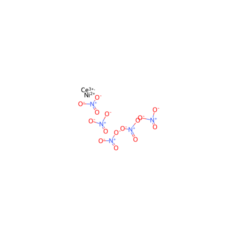 O=[N+]([O-])[O-].O=[N+]([O-])[O-].O=[N+]([O-])[O-].O=[N+]([O-])[O-].O=[N+]([O-])[O-].[Ce+3].[Ni+2]